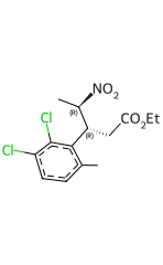 CCOC(=O)C[C@H](c1c(C)ccc(Cl)c1Cl)[C@@H](C)[N+](=O)[O-]